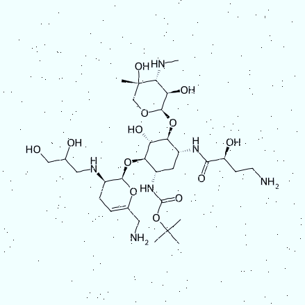 CN[C@@H]1[C@@H](O)[C@@H](O[C@@H]2[C@@H](O)[C@H](O[C@H]3OC(CN)=CC[C@H]3NCC(O)CO)[C@@H](NC(=O)OC(C)(C)C)C[C@H]2NC(=O)[C@@H](O)CCN)OC[C@]1(C)O